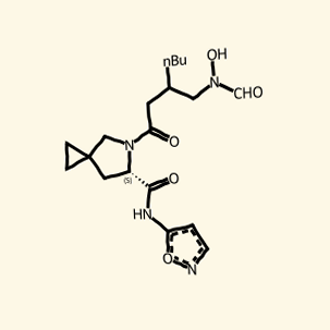 CCCCC(CC(=O)N1CC2(CC2)C[C@H]1C(=O)Nc1ccno1)CN(O)C=O